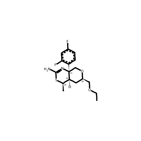 CCOC[C@H]1C[C@H]2[C@@H](C)SC(N)=N[C@@]2(c2ccc(F)cc2F)CO1